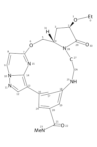 CCO[C@@H]1C[C@H]2COc3ccn4ncc(c4n3)-c3cc(cc(C(=O)NC)c3)NCCN2C1=O